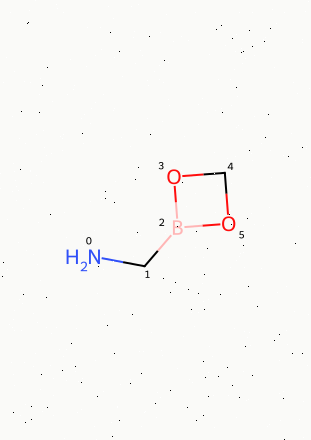 NCB1OCO1